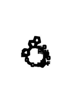 O=C1Nc2c(ccc3c2CCC3)-c2ccnc(c2)OCCCn2cc(F)c(n2)S(=O)(=O)N1